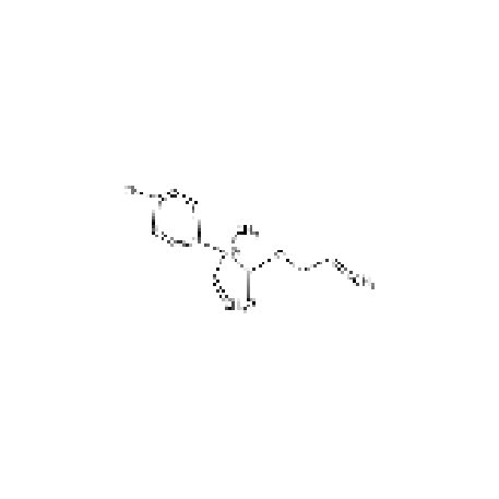 C=CCOC(=O)[C@@](C)(C=C)c1ccc(Cl)cc1